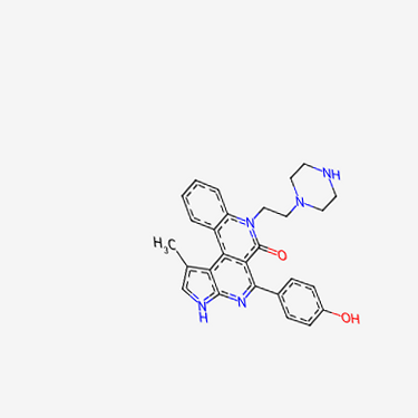 Cc1c[nH]c2nc(-c3ccc(O)cc3)c3c(=O)n(CCN4CCNCC4)c4ccccc4c3c12